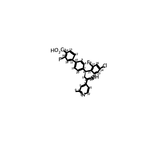 Cc1cc(/C(C[C@@H](c2ccc(-c3ccc(C(=O)O)c(F)c3)cc2)c2ccc(Cl)cc2F)=N/O)ccn1